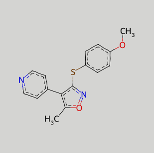 COc1ccc(Sc2noc(C)c2-c2ccncc2)cc1